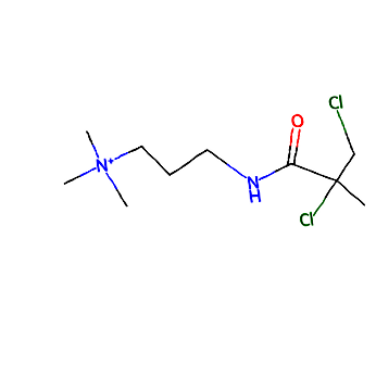 CC(Cl)(CCl)C(=O)NCCC[N+](C)(C)C